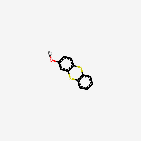 CCOc1ccc2c(c1)Sc1ccccc1S2